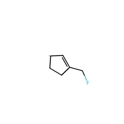 FCC1=C[CH]CC1